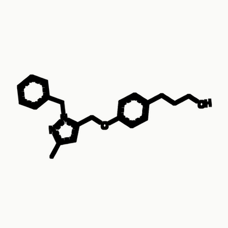 Cc1cc(COc2ccc(CCCO)cc2)n(Cc2ccccc2)n1